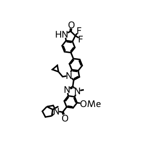 COc1cc(C(=O)N2CC3CCC2C3C)cc2nc(-c3cc4ccc(-c5ccc6c(c5)C(F)(F)C(=O)N6)cc4n3CC3CC3)n(C)c12